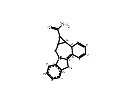 NC(=O)C1C2CN3C(=C4C=CC=CC4C21)Cc1ccccc13